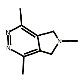 Cc1nnc(C)c2c1CN(C)C2